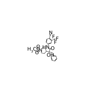 CS(=O)(=O)N1CCC(C(O)(Cc2ccccc2)C(=O)Nc2ccc(C#N)c(C(F)(F)F)c2)CC1